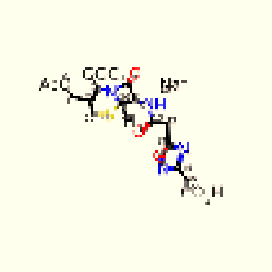 CC(=O)OCC1=C(C(=O)[O-])N2C(=O)C(NC(=O)Cc3nc(CC(=O)O)no3)[C@@H]2SC1.[Na+]